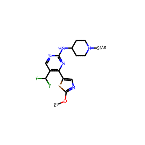 CCOc1ncc(-c2nc(NC3CCN(SC)CC3)ncc2C(F)F)s1